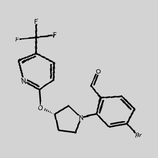 O=Cc1ccc(Br)cc1N1CC[C@H](Oc2ccc(C(F)(F)F)cn2)C1